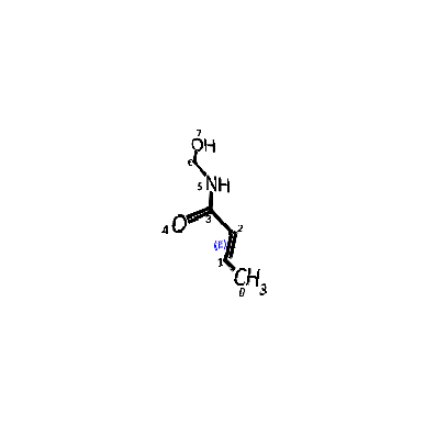 C/C=C/C(=O)NCO